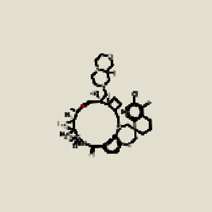 C[C@@H]1[C@@H](C)S(=O)(=O)NC(=O)c2ccc3c(c2)N(C[C@@H]2CC[C@H]2[C@](O)(CN2CCN4CCOC[C@@H]4C2)C2=C[C@H]1C2)C[C@@]1(CCCc2c1ccc(Cl)c2F)CO3